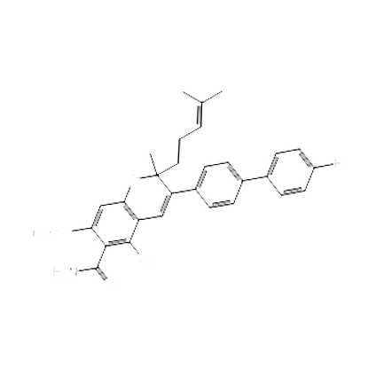 CCCCCc1cc2c(c(O)c1C(N)=O)C=C(c1ccc(-c3ccc(F)cc3)cc1)C(C)(CCC=C(C)C)O2